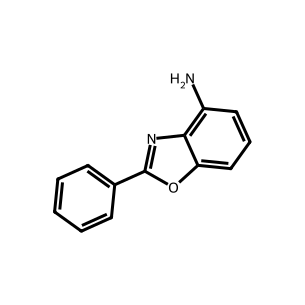 Nc1cccc2oc(-c3ccccc3)nc12